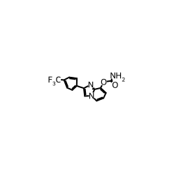 NC(=O)Oc1cccn2cc(-c3ccc(C(F)(F)F)cc3)nc12